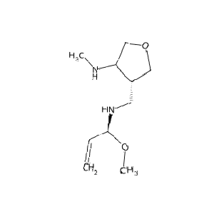 C=C[C@@H](NC[C@H]1COCC1NC)OC